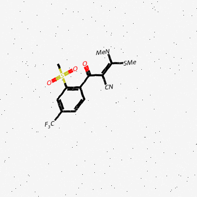 CN/C(SC)=C(/C#N)C(=O)c1ccc(C(F)(F)F)cc1S(C)(=O)=O